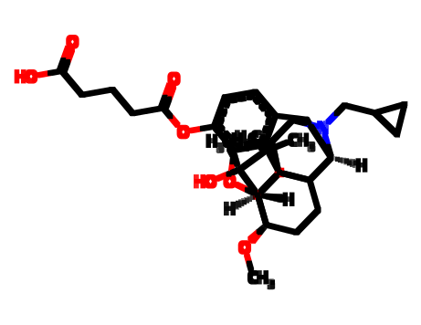 CO[C@]12CCC3(C[C@@H]1[C@](C)(O)C(C)(C)C)[C@H]1Cc4ccc(OC(=O)CCCC(=O)O)c5c4[C@@]3(CCN1CC1CC1)[C@H]2O5